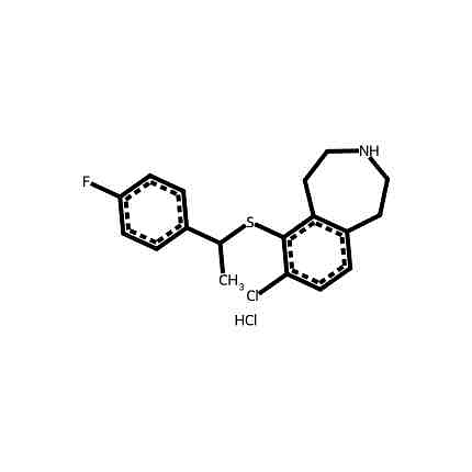 CC(Sc1c(Cl)ccc2c1CCNCC2)c1ccc(F)cc1.Cl